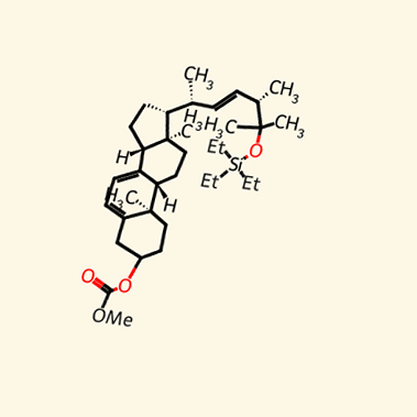 CC[Si](CC)(CC)OC(C)(C)[C@@H](C)C=C[C@@H](C)[C@H]1CC[C@H]2C3=CC=C4CC(OC(=O)OC)CC[C@]4(C)[C@H]3CC[C@]12C